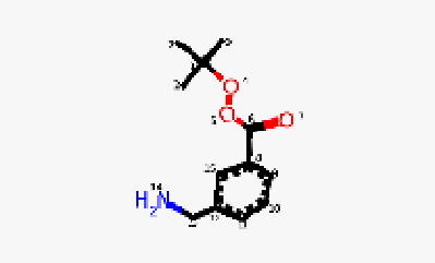 CC(C)(C)OOC(=O)c1cccc(CN)c1